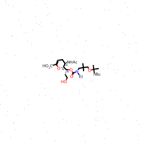 CCCCC(C)(C)OCC(C)(C)CN(CC)C(=O)O[C@H](CCO)[C@@H]1OC(C(=O)O)=CC[C@H]1NC(C)=O